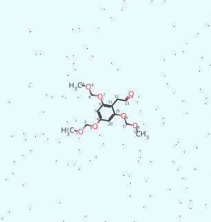 COCOc1cc(OCOC)c(CC=O)c(OCOC)c1